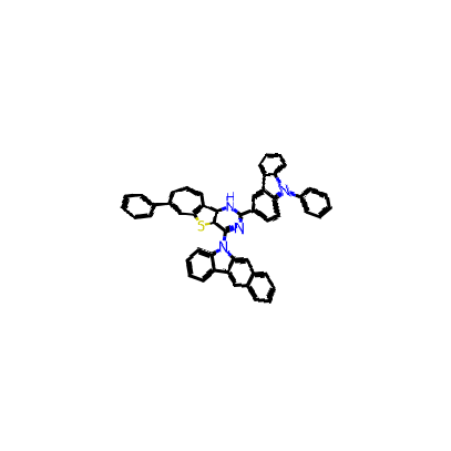 C1=CC2=C(C=C(c3ccccc3)C1)SC1C(n3c4ccccc4c4cc5ccccc5cc43)=NC(c3ccc4c(c3)c3ccccc3n4-c3ccccc3)NC21